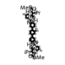 COC(=O)NC(C(=O)N1C[C@@H](C)C[C@H]1c1nc2cc(-c3ccc(-c4ccc5[nH]c([C@@H]6C[C@H](C)CN6C(=O)[C@H](C(C)C)N(C)C(=O)OC)nc5c4)cc3F)ccc2[nH]1)C(C)C